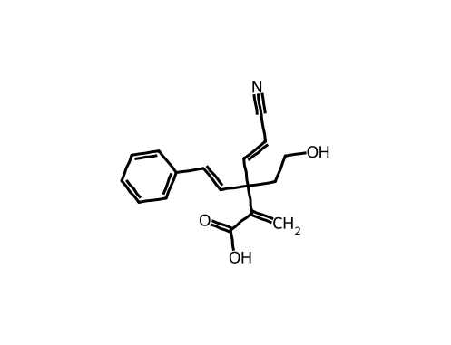 C=C(C(=O)O)C(C=CC#N)(C=Cc1ccccc1)CCO